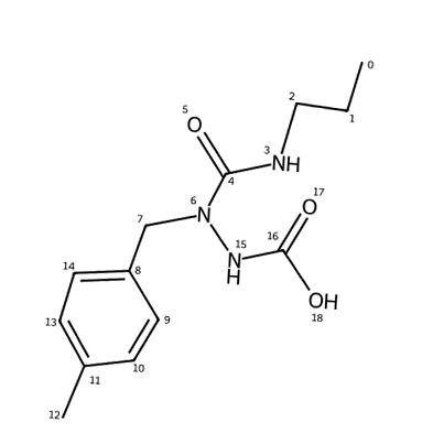 CCCNC(=O)N(Cc1ccc(C)cc1)NC(=O)O